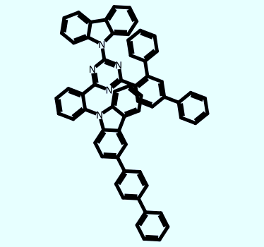 c1ccc(-c2ccc(-c3ccc4c(c3)c3ccccc3n4-c3ccccc3-c3nc(-c4ccc(-c5ccccc5)cc4-c4ccccc4)nc(-n4c5ccccc5c5ccccc54)n3)cc2)cc1